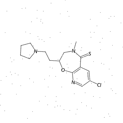 CN1CC(CCN2CCCC2)Oc2ncc(Cl)cc2C1=S